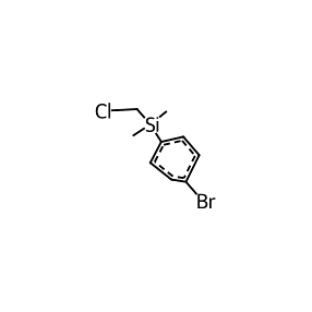 C[Si](C)(CCl)c1ccc(Br)cc1